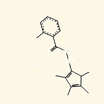 CC1=C(C)C(C)[C]([Ti+2][NH]C(=O)c2ccccc2C)=C1C.[Cl-].[Cl-]